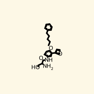 NC(CO)C(=O)Nc1ccc(OCCCCCc2ccccc2)c(-c2ccoc2)c1